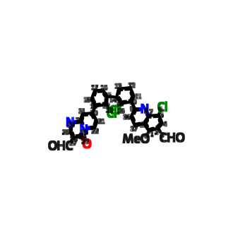 COc1c(C=O)cc(Cl)c2nc(-c3cccc(-c4cccc(-c5ccn6c(=O)c(C=O)cnc6c5)c4Cl)c3Cl)ccc12